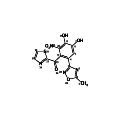 Cc1nc(-c2cc(O)c(O)c([N+](=O)[O-])c2C(=O)c2nccs2)no1